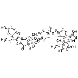 CCc1c2c(nc3ccc(O)cc13)-c1cc3c(c(=O)n1C2)COC(=O)C3(CC)OC(=O)N1CCN(C(=O)CCc2ccc(-n3c(O)nnc3-c3cc(C(C)C)c(O)cc3O)cc2)CC1